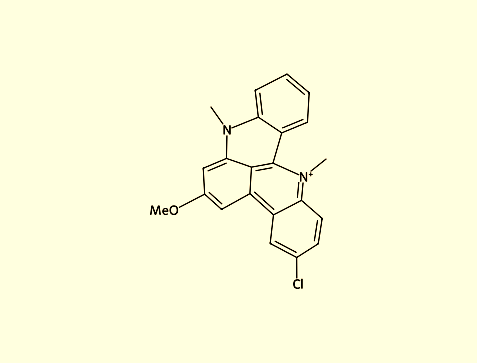 COc1cc2c3c([n+](C)c4ccc(Cl)cc4c3c1)-c1ccccc1N2C